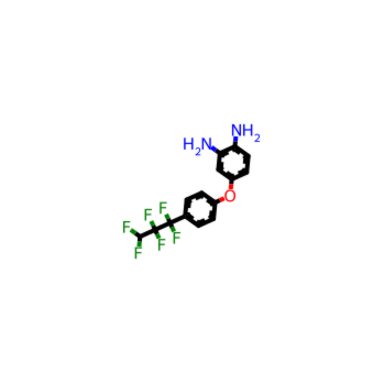 Nc1ccc(Oc2ccc(C(F)(F)C(F)(F)C(F)F)cc2)cc1N